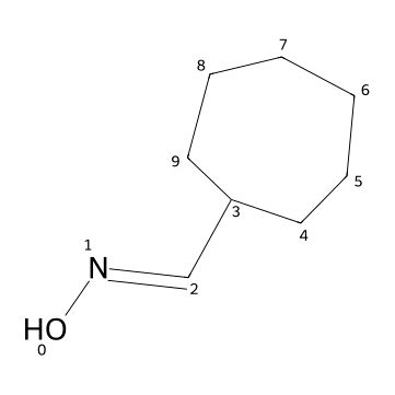 ON=CC1CCCCCC1